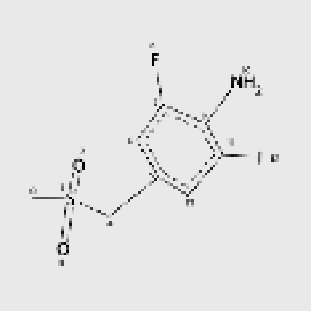 CS(=O)(=O)Cc1cc(F)c(N)c(I)c1